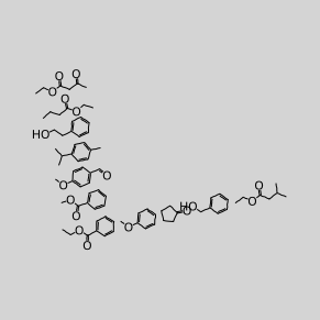 CCCC(=O)OCC.CCOC(=O)CC(C)=O.CCOC(=O)CC(C)C.CCOC(=O)c1ccccc1.COC(=O)c1ccccc1.COc1ccc(C=O)cc1.COc1ccccc1.Cc1ccc(C(C)C)cc1.O=C1CCCC1.OCCc1ccccc1.OCc1ccccc1